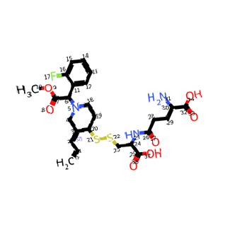 C=C/C=C1/CN(C(C(=O)OC)c2ccccc2F)CCC1SSCC(NC(=O)CCC(N)C(=O)O)C(=O)O